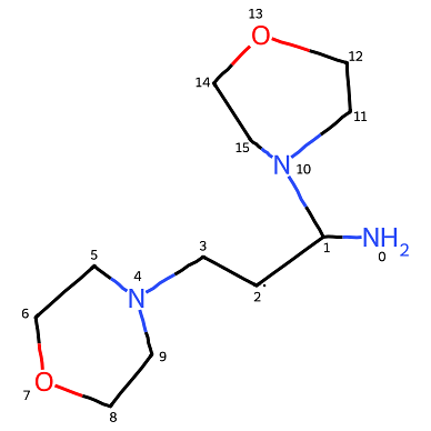 NC([CH]CN1CCOCC1)N1CCOCC1